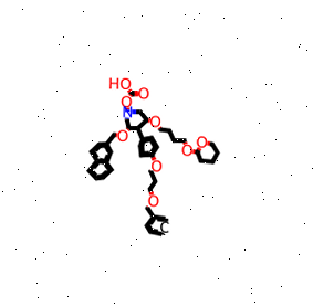 O=C(O)ON1CC(OCCCCOC2CCCCO2)C(c2ccc(OCCCOCc3ccccc3)cc2)C(OCc2ccc3ccccc3c2)C1